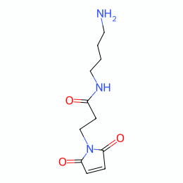 NCCCCNC(=O)CCN1C(=O)C=CC1=O